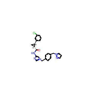 O=C(Nc1cn(Cc2ccc(Cn3cccn3)cc2)cn1)[C@@H]1C[C@H]1c1cccc(Cl)c1